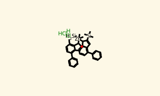 CC1=Cc2c(-c3ccccc3)ccc(C)c2[CH]1[Zr]([CH3])([CH3])(=[SiH2])[CH]1C([Si](C)(C)C)=Cc2c(-c3ccccc3)cccc21.Cl.Cl